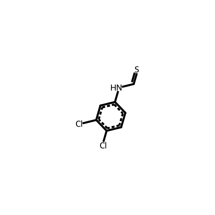 S=CNc1ccc(Cl)c(Cl)c1